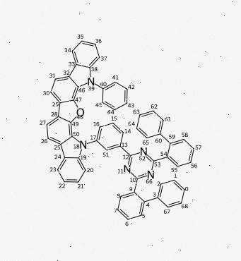 c1ccc(-c2ccccc2-c2nc(-c3cccc(-n4c5ccccc5c5ccc6c7ccc8c9ccccc9n(-c9ccccc9)c8c7oc6c54)c3)nc(-c3ccccc3-c3ccccc3)n2)cc1